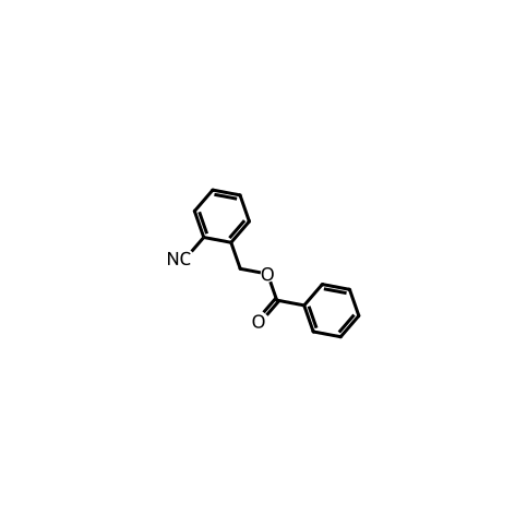 N#Cc1ccccc1COC(=O)c1ccccc1